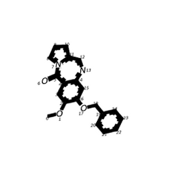 COc1cc2c(=O)n3cccc3cnc2cc1OCc1ccccc1